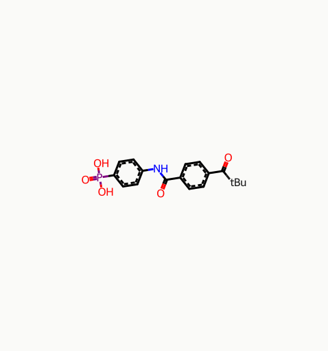 CC(C)(C)C(=O)c1ccc(C(=O)Nc2ccc(P(=O)(O)O)cc2)cc1